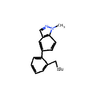 Cn1ncc2cc(-c3ccccc3CC(C)(C)C)ccc21